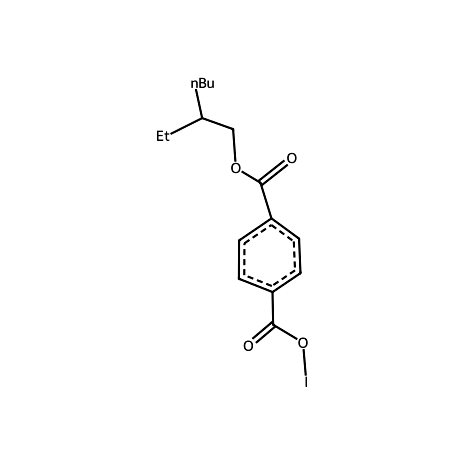 CCCCC(CC)COC(=O)c1ccc(C(=O)OI)cc1